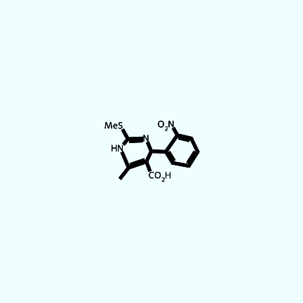 CSC1=NC(c2ccccc2[N+](=O)[O-])C(C(=O)O)=C(C)N1